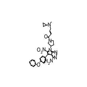 CN(C/C=C/C(=O)N1CCC(n2c([N+](=O)[O-])c(-c3ccc(Oc4ccccc4)cc3)c3c(N)ncnc32)C1)C1CC1